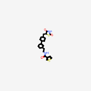 O=C1NC(=O)C(Cc2ccc(-c3cccc(CCNC(=O)c4ccsc4)c3)cc2)S1